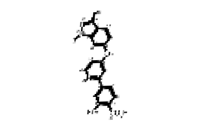 CCc1cc(-c2cc(Oc3ccc4c(C)nn(C)c4c3)ccn2)ccc1C(=O)O